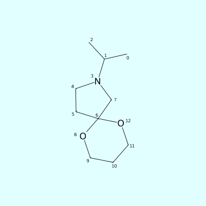 CC(C)N1CCC2(C1)OCCCO2